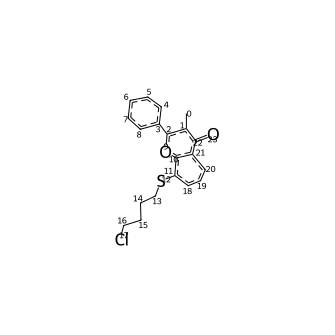 Cc1c(-c2ccccc2)oc2c(SCCCCCl)cccc2c1=O